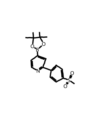 CC1(C)OB(c2ccnc(-c3ccc(S(C)(=O)=O)cc3)c2)OC1(C)C